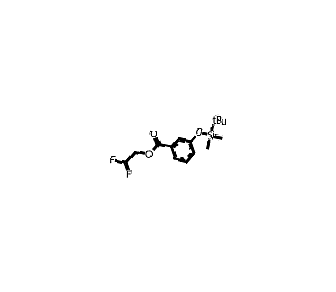 CC(C)(C)[Si](C)(C)Oc1cccc(C(=O)OCC(F)F)c1